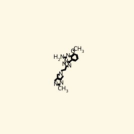 COc1cccc2c1nc(N)n1nc(CCN3Cc4cnc(C)nc4C3)nc21